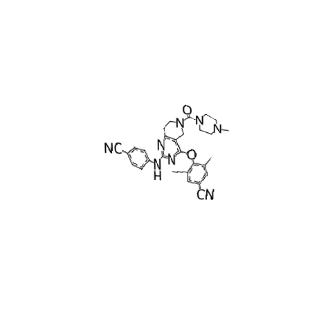 Cc1cc(C#N)cc(C)c1Oc1nc(Nc2ccc(C#N)cc2)nc2c1CN(C(=O)N1CCN(C)CC1)CC2